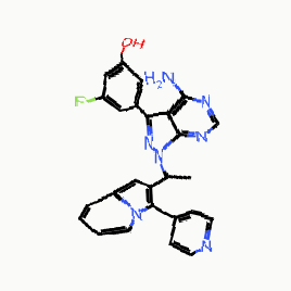 CC(c1cc2ccccn2c1-c1ccncc1)n1nc(-c2cc(O)cc(F)c2)c2c(N)ncnc21